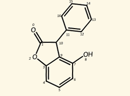 O=C1Oc2cccc(O)c2C1c1ccccc1